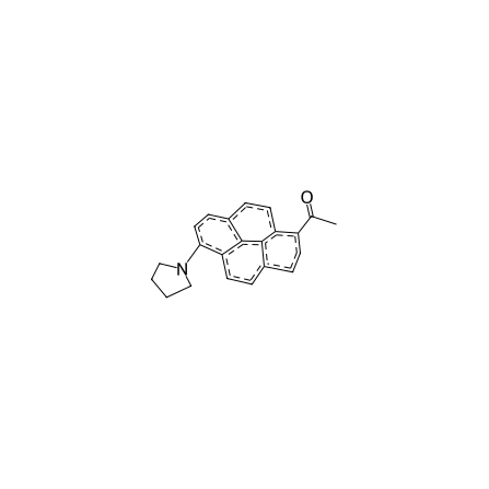 CC(=O)c1ccc2ccc3c(N4CCCC4)ccc4ccc1c2c43